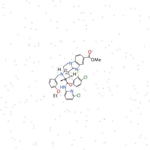 CCOc1cccc(CN2[C@H]3CCn4c(nc5cc(C(=O)OC)ccc54)[C@H]3[C@H](c3cccc(Cl)c3F)[C@]2(C)C(=O)Nc2cccc(Cl)n2)c1